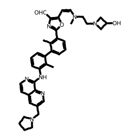 Cc1c(Nc2nccc3cc(CN4CCCC4)cnc23)cccc1-c1cccc(-c2nc(C=O)c(/C=C\N(C)CCN3CC(O)C3)o2)c1C